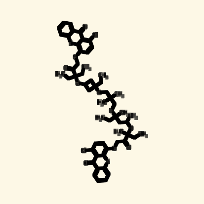 CCC(C)(CC(C)OC(C)(CC)C(=O)COc1ccc(Cl)c2c(=O)c3ccccc3sc12)OCC(C)(C)COC1(CC)CC(OC(CC)(CC)C(=O)COc2ccc(Cl)c3c(=O)c4ccccc4sc23)C1